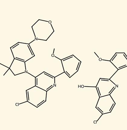 COc1ccccc1-c1cc(N2CC(C)(C)c3ccc(N4CCOCC4)cc32)c2cc(Cl)ccc2n1.COc1ccccc1-c1cc(O)c2cc(Cl)ccc2n1